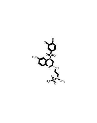 CN(CCN[C@H]1CN(S(=O)(=O)c2ccc(F)c(Cl)c2)c2cc(N)ccc2O1)S(C)(=O)=O